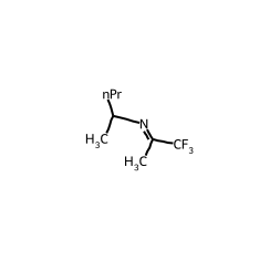 CCCC(C)/N=C(\C)C(F)(F)F